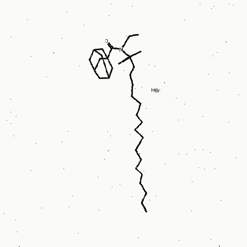 Br.CCCCCCCCCCCCCCCCCC(C)(C)N(CC)C(=O)C12CC3CC(CC(C3)C1)C2